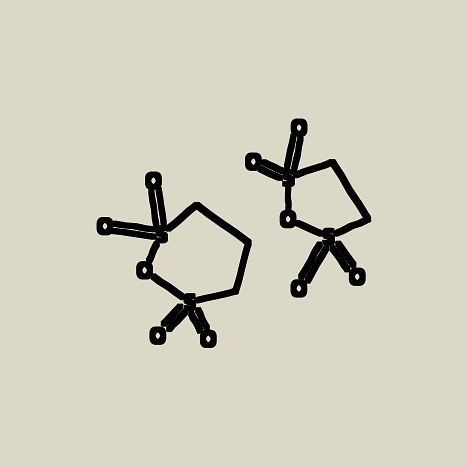 O=S1(=O)CCCS(=O)(=O)O1.O=S1(=O)CCS(=O)(=O)O1